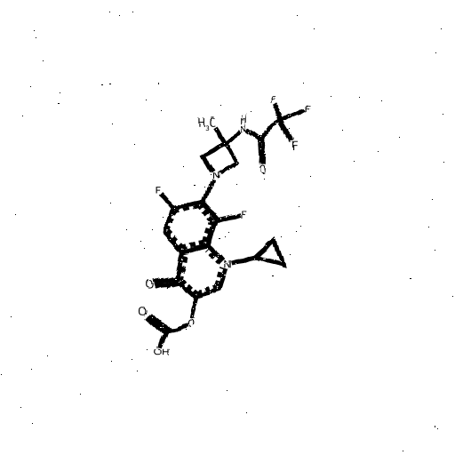 CC1(NC(=O)C(F)(F)F)CN(c2c(F)cc3c(=O)c(OC(=O)O)cn(C4CC4)c3c2F)C1